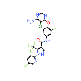 Nc1ncnc(Oc2ccc(NC(=O)c3cnn(-c4ccc(F)cn4)c3C(F)(F)F)cc2F)c1Cl